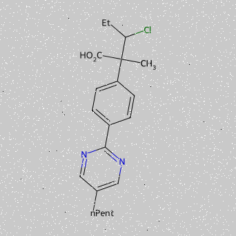 CCCCCc1cnc(-c2ccc(C(C)(C(=O)O)C(Cl)CC)cc2)nc1